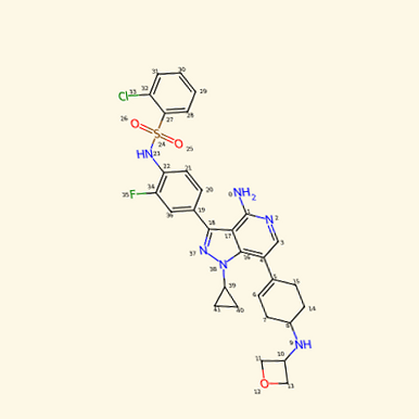 Nc1ncc(C2=CCC(NC3COC3)CC2)c2c1c(-c1ccc(NS(=O)(=O)c3ccccc3Cl)c(F)c1)nn2C1CC1